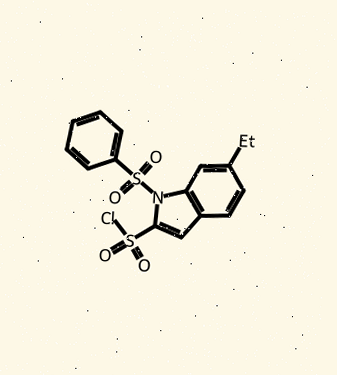 CCc1ccc2cc(S(=O)(=O)Cl)n(S(=O)(=O)c3ccccc3)c2c1